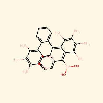 Bc1c(B)c(B)c(-c2ccccc2-c2c3ccccc3c(B(O)O)c3c(B)c(B)c(B)c(B)c23)c(B)c1B